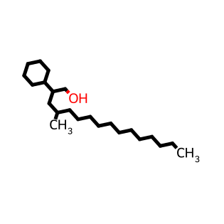 CCCCCCCCCCCCC(C)CC(CO)C1CCCCC1